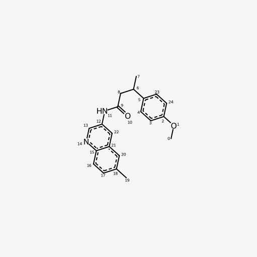 COc1ccc(C(C)CC(=O)Nc2cnc3ccc(C)cc3c2)cc1